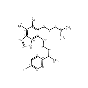 CC(=O)c1c(OCCN(C)C)c(OCCC(C)c2ccc(F)cc2)c2ocnc2c1C